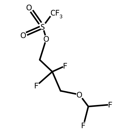 O=S(=O)(OCC(F)(F)COC(F)F)C(F)(F)F